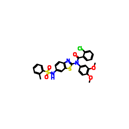 COc1ccc(N(C(=O)c2ccccc2Cl)c2nc3ccc(NS(=O)(=O)c4ccccc4C)cc3s2)cc1OC